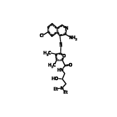 CCN(CC)CC(O)CNC(=O)c1oc(C#Cc2c(N)ncc3ccc(Cl)cc23)c(C)c1C